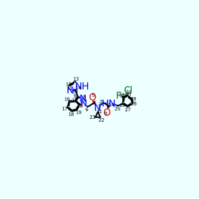 O=C(CN(C(=O)Cn1nc(-c2ncc[nH]2)c2ccccc21)C1CC1)NCc1cccc(Cl)c1F